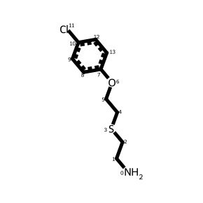 NCCSCCOc1ccc(Cl)cc1